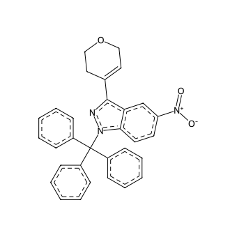 O=[N+]([O-])c1ccc2c(c1)c(C1=CCOCC1)nn2C(c1ccccc1)(c1ccccc1)c1ccccc1